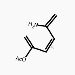 C=C(N)/C=C\C(=C)OC(C)=O